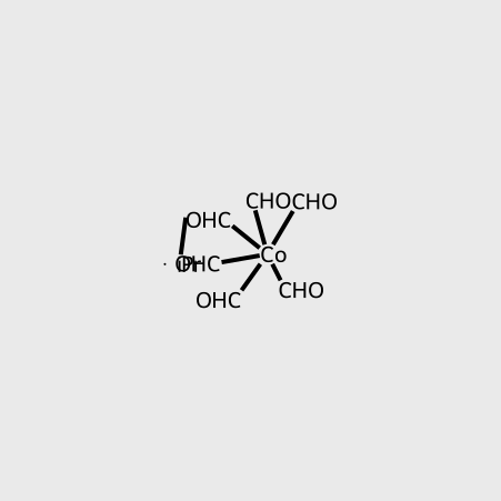 C[C](C)C.O=[CH][Co]([CH]=O)([CH]=O)([CH]=O)([CH]=O)[CH]=O